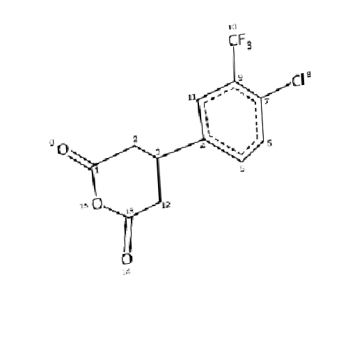 O=C1CC(c2ccc(Cl)c(C(F)(F)F)c2)CC(=O)O1